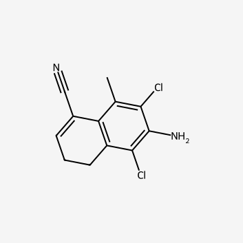 Cc1c(Cl)c(N)c(Cl)c2c1C(C#N)=CCC2